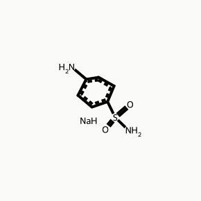 Nc1ccc(S(N)(=O)=O)cc1.[NaH]